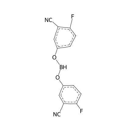 N#Cc1cc(OBOc2ccc(F)c(C#N)c2)ccc1F